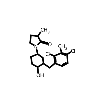 Cc1c(Cl)ccc(CC2CC(N3CCC(C)C3=O)CCC2O)c1Cl